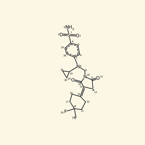 NS(=O)(=O)c1ccc(N(CN2C(=O)SC(=C3CCC(F)(F)CC3)C2=O)C2CC2)cc1